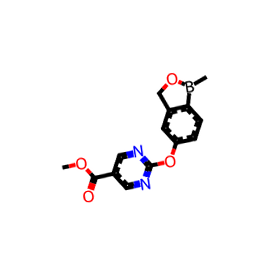 COC(=O)c1cnc(Oc2ccc3c(c2)COB3C)nc1